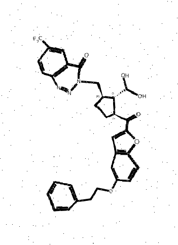 O=C(c1cc2cc(OCCc3ccccc3)ccc2o1)[C@H]1CC[C@@H](Cn2nnc3ccc(C(F)(F)F)cc3c2=O)[C@@H]1C(O)O